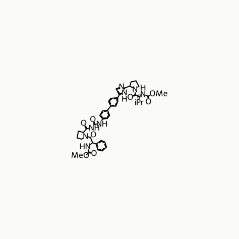 COC(=O)NC(C(=O)N1CCCC1C(=O)NC(=O)Nc1ccc(-c2ccc(-c3cnc(C4CCCN4C(=O)[C@@H](NC(=O)OC)C(C)C)[nH]3)cc2)cc1)c1ccccc1